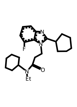 CCN(C(=O)CCn1c(C2CCCCC2)nc2cccc(F)c21)C1CCCCC1